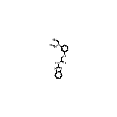 N=CN(N=N)c1cccc(OCC(=O)Nc2nc3ccccc3s2)c1